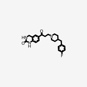 O=C1NCc2cc(C(=O)CCN3CCC(Cc4ccc(F)cc4)CC3)ccc2N1